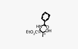 CCOC(=O)[C@H](NC(=O)c1ccccc1)[C@H](C)O